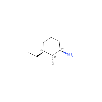 CC[C@H]1CCC[C@@H](N)[C@@H]1C